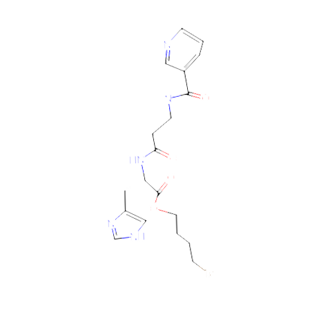 O=C(CCNC(=O)c1cccnc1)N[C@@H](Cc1c[nH]cn1)C(=O)OCCCCBr